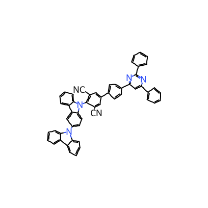 N#Cc1cc(-c2ccc(-c3cc(-c4ccccc4)nc(-c4ccccc4)n3)cc2)cc(C#N)c1-n1c2ccccc2c2cc(-n3c4ccccc4c4ccccc43)ccc21